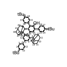 CC(C)(C)c1ccc(-c2cc(C34CC5CC(CC(C5)C3)C4)[n+](-c3cc(-c4ccc(C(C)(C)C)cc4)c(O)c(-c4ccc(C(C)(C)C)cc4)c3)c(C34CC5CC(CC(C5)C3)C4)c2)cc1